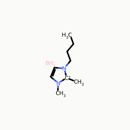 CCCCn1ccn(C)[c+]1C.[BH4-]